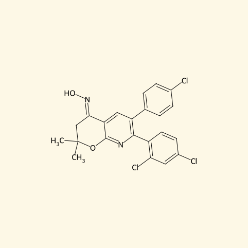 CC1(C)CC(=NO)c2cc(-c3ccc(Cl)cc3)c(-c3ccc(Cl)cc3Cl)nc2O1